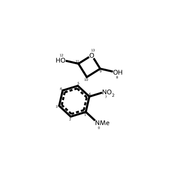 CNc1ccccc1[N+](=O)[O-].OC1CC(O)O1